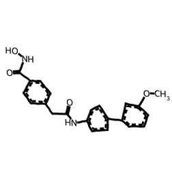 COc1cccc(-c2ccc(NC(=O)Cc3ccc(C(=O)NO)cc3)cc2)c1